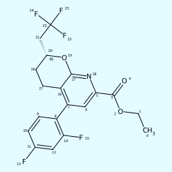 CCOC(=O)c1cc(-c2ccc(F)cc2F)c2c(n1)O[C@@H](CC(F)(F)F)CC2